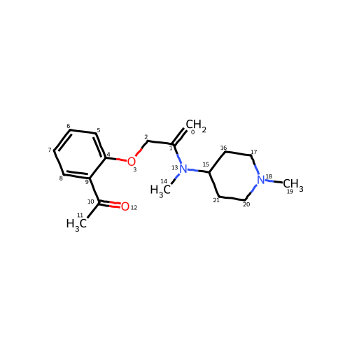 C=C(COc1ccccc1C(C)=O)N(C)C1CCN(C)CC1